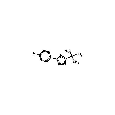 CC(C)(C)c1nc(-c2ccc(F)cc2)co1